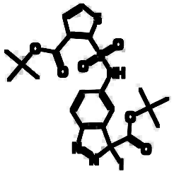 CC(C)(C)OC(=O)c1ccsc1S(=O)(=O)Nc1ccc2c(c1)C(I)(C(=O)OC(C)(C)C)N=N2